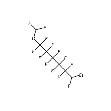 CCC(F)C(F)(F)C(F)(F)C(F)(F)C(F)(F)C(F)(F)O[C](F)F